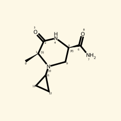 C[C@H]1C(=O)N[C@@H](C(N)=O)CN1C1CC1